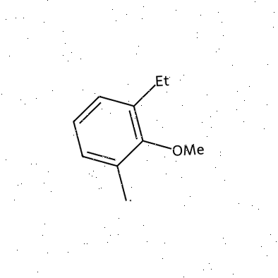 [CH2]c1cccc(CC)c1OC